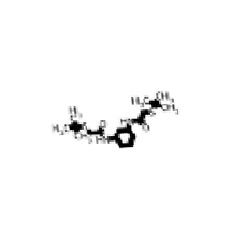 CC(C)(C)SCC(=O)Nc1cccc(NC(=O)CSC(C)(C)C)c1